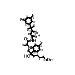 CCCCCCCCCCCCCCC(O)(CNC(C)C(=O)Nc1cc(C(C)(C)c2cc(F)cc(F)c2)n[nH]1)c1ccc(C)cc1